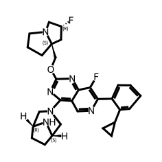 Fc1c(-c2ccccc2C2CC2)ncc2c(N3C[C@H]4CC[C@@H](C3)N4)nc(OC[C@@]34CCCN3C[C@H](F)C4)nc12